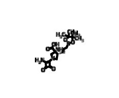 CC1(C)OB(CCC[C@@H]2CN(c3c(N)c(=O)c3=O)C[C@]2(N)C(=O)O)OC1(C)C